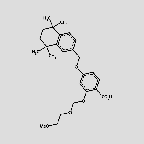 COCCOCOc1cc(OCc2ccc3c(c2)C(C)(C)CCC3(C)C)ccc1C(=O)O